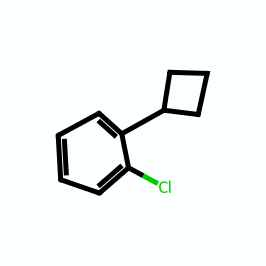 Clc1ccccc1C1CCC1